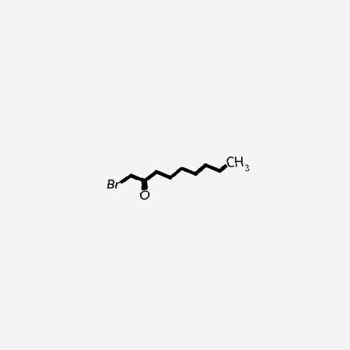 CCCCCCCC(=O)CBr